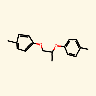 Cc1ccc(OCC(C)Oc2ccc(C)cc2)cc1